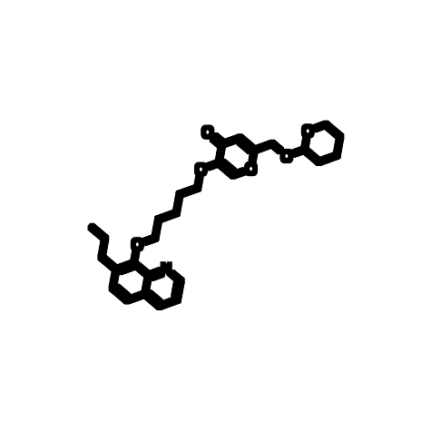 CCCc1ccc2cccnc2c1OCCCCCOc1coc(COC2CCCCO2)cc1=O